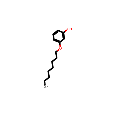 CC(=O)CCCCCCCOc1cccc(O)c1